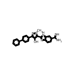 Cn1nc(-c2ccc(-c3ccccc3)cc2)c(O)c1-c1nc2ccc(C(=N)N)cc2[nH]1